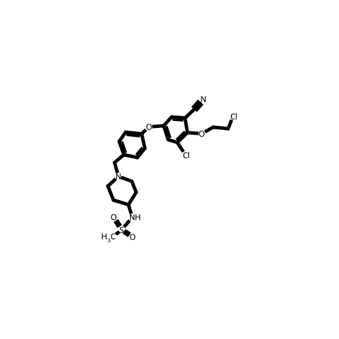 CS(=O)(=O)NC1CCN(Cc2ccc(Oc3cc(Cl)c(OCCCl)c(C#N)c3)cc2)CC1